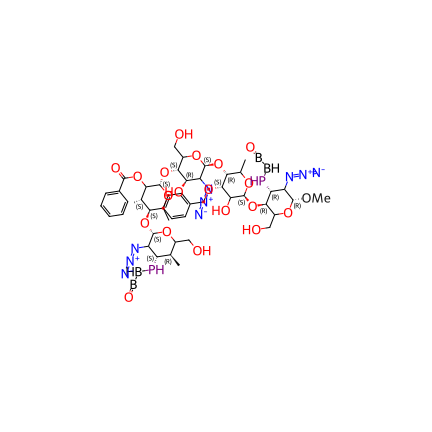 CO[C@@H]1OC(CO)[C@@H](O[C@@H]2OC(C)[C@@H](O[C@@H]3OC(CO)[C@@H](O[C@@H]4OC(C)[C@@H](O[C@@H]5OC(CO)[C@@H](C)[C@H](PBB=O)C5N=[N+]=[N-])[C@H](C)C4OC(=O)c4ccccc4)[C@H](O)C3N=[N+]=[N-])[C@@H](OCc3ccccc3)C2O)[C@H](PBB=O)C1N=[N+]=[N-]